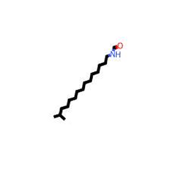 CC(C)CCCCCCCCCCCCCNC=O